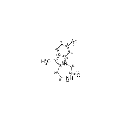 CC(=O)c1ccc2c(C)c3n(c2c1)CC(=O)NCC3